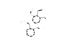 C=Cc1cccc(C=C)c1C=C.C=Cc1ccccc1C=C